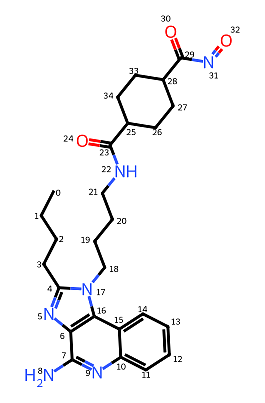 CCCCc1nc2c(N)nc3ccccc3c2n1CCCCNC(=O)C1CCC(C(=O)N=O)CC1